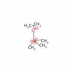 C=C(C)C(=O)OCCCC[Si](OCCC)(OCCC)OCCC